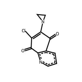 O=C1C(N2CC2)=C(Cl)C(=O)c2ncccc21